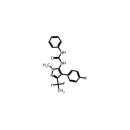 Cn1nc(C(C)(F)F)c(-c2ccc(F)cc2)c1NC(=O)Nc1ccccc1